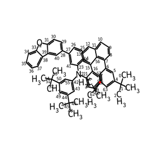 CC(C)(C)c1cc(-c2cccc3cccc(-c4ccccc4N(c4cccc(-c5ccc6oc7ccccc7c6c5)c4)c4cc(C(C)(C)C)cc(C(C)(C)C)c4)c23)cc(C(C)(C)C)c1